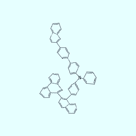 c1ccc(N(c2ccc(-c3ccc(-c4ccc5ccccc5c4)cc3)cc2)c2ccc(-c3c(-c4cc5ccccc5c5ccccc45)ccc4ccccc34)cc2)cc1